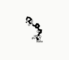 CNC(=O)[C@@H](NC(=O)c1ccc(-c2cccc(CNC(=O)C3CCCCN3C)c2)o1)C(C)C